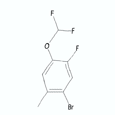 Cc1cc(OC(F)F)c(F)cc1Br